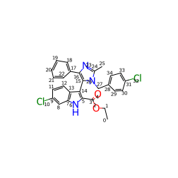 CCOC(=O)c1[nH]c2cc(Cl)ccc2c1-c1c(-c2ccccc2)nc(C)n1Cc1ccc(Cl)cc1